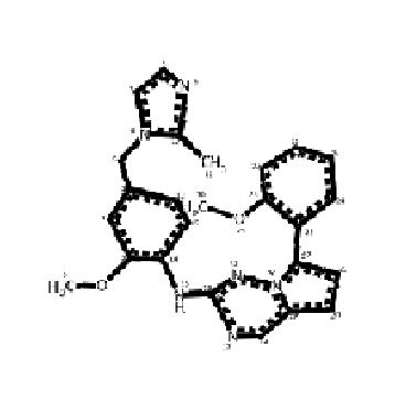 COc1cc(Cn2ccnc2C)ccc1Nc1ncc2ccc(-c3ccccc3OC)n2n1